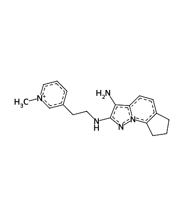 C[n+]1cccc(CCNc2nn3c4c(ccc3c2N)CCC4)c1